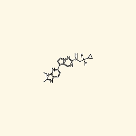 Cc1nc2ccc(-c3ccn4nc(NCC(F)(F)C5CC5)ncc34)nc2n1C